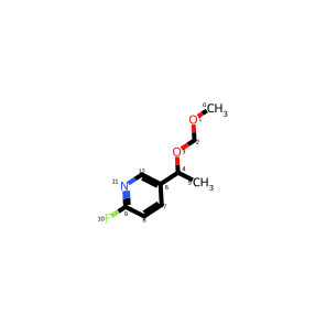 COCOC(C)c1ccc(F)nc1